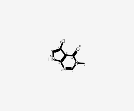 Cn1cnc2[nH]cc(Cl)c2c1=O